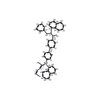 C/C=C\C=C(/C)N(c1ccc(-c2ccc(C(C)C(Cc3ccccc3)c3cccc4ccccc34)cc2)cc1)c1cccc2ccccc12